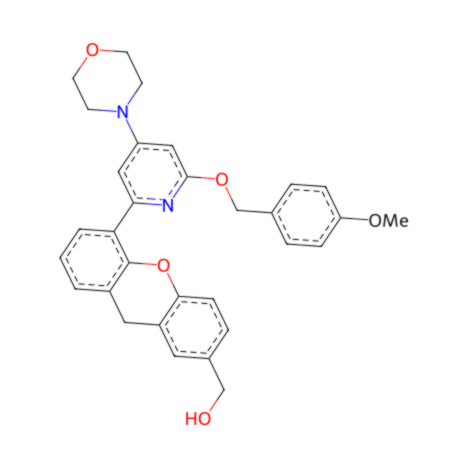 COc1ccc(COc2cc(N3CCOCC3)cc(-c3cccc4c3Oc3ccc(CO)cc3C4)n2)cc1